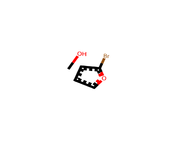 Brc1ccco1.CO